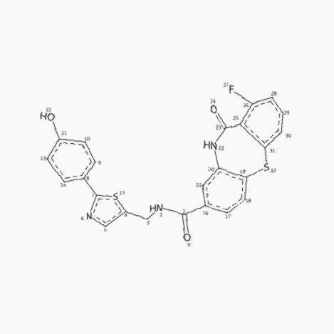 O=C(NCc1cnc(-c2ccc(O)cc2)s1)c1ccc2c(c1)NC(=O)c1c(F)cccc1S2